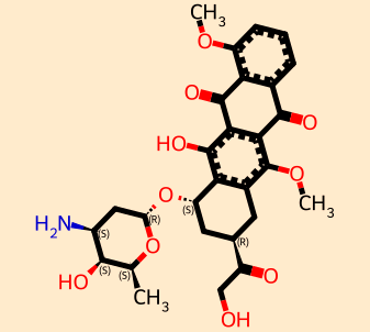 COc1cccc2c1C(=O)c1c(O)c3c(c(OC)c1C2=O)C[C@@H](C(=O)CO)C[C@@H]3O[C@H]1C[C@H](N)[C@H](O)[C@H](C)O1